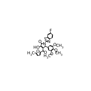 COc1cc(C2C(C(=O)c3ccc(C)o3)=C(O)C(=O)N2c2nc3ccc(F)cc3s2)cc(OC)c1OC